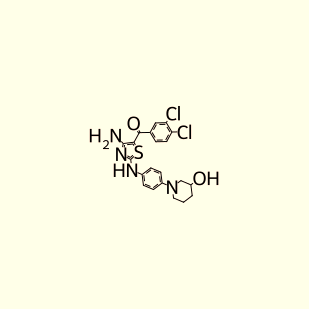 Nc1nc(Nc2ccc(N3CCCC(O)C3)cc2)sc1C(=O)c1ccc(Cl)c(Cl)c1